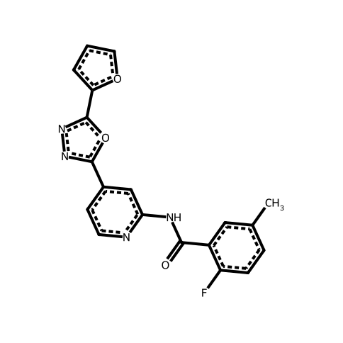 Cc1ccc(F)c(C(=O)Nc2cc(-c3nnc(-c4ccco4)o3)ccn2)c1